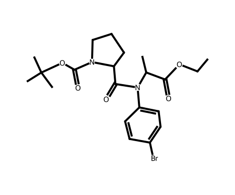 CCOC(=O)C(C)N(C(=O)C1CCCN1C(=O)OC(C)(C)C)c1ccc(Br)cc1